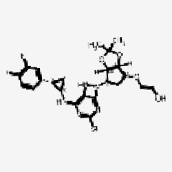 CC1(C)O[C@@H]2[C@H](O1)[C@@H](OCCO)C[C@H]2n1[nH]c2c(N[C@@H]3C[C@H]3c3ccc(F)c(F)c3)nc(S)nc21